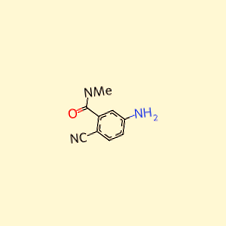 CNC(=O)c1cc(N)ccc1C#N